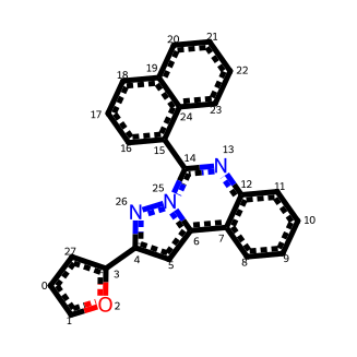 c1coc(-c2cc3c4ccccc4nc(-c4cccc5ccccc45)n3n2)c1